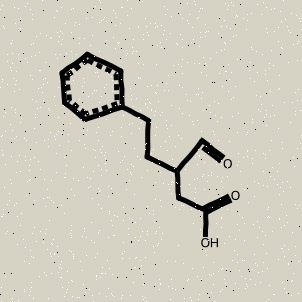 O=CC(CCc1ccccc1)CC(=O)O